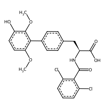 COc1ccc(O)c(OC)c1-c1ccc(C[C@H](NC(=O)c2c(Cl)cccc2Cl)C(=O)O)cc1